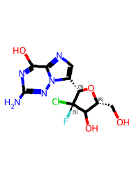 Nc1nc(O)c2ncc([C@@H]3O[C@H](CO)C(O)[C@]3(F)Cl)n2n1